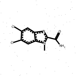 Cn1c(C(N)=O)nc2cc(Cl)c(Cl)cc21